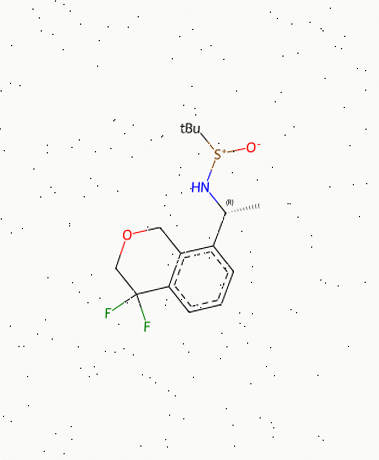 C[C@@H](N[S+]([O-])C(C)(C)C)c1cccc2c1COCC2(F)F